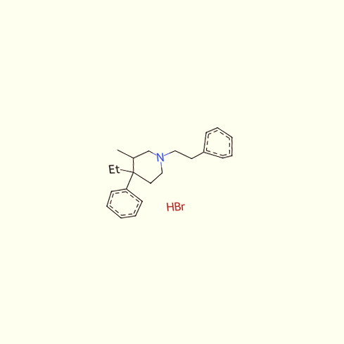 Br.CCC1(c2ccccc2)CCN(CCc2ccccc2)CC1C